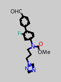 COC(=O)N(CCCn1cncn1)c1ccc(-c2ccc(C=O)cc2)c(F)c1